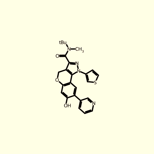 CN(C(=O)c1nn(-c2ccsc2)c2c1COc1cc(O)c(-c3cccnc3)cc1-2)C(C)(C)C